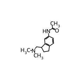 CC(=O)Nc1ccc2c(c1)C(CN(C)C)CC2